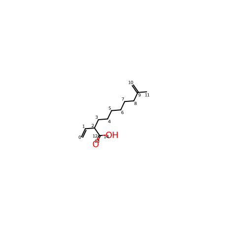 C=CC(CCCCCCC(=C)C)C(=O)O